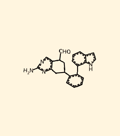 Nc1ncc2c(n1)CC(c1ccccc1-c1cccc3cc[nH]c13)CC2C=O